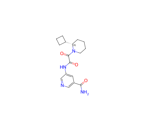 NC(=O)c1cncc(NC(=O)C(=O)N2CCCC[C@H]2C2CCC2)c1